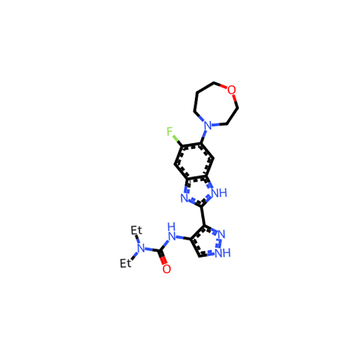 CCN(CC)C(=O)Nc1c[nH]nc1-c1nc2cc(F)c(N3CCCOCC3)cc2[nH]1